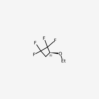 CCO[C@H]1CC(F)(F)C1(F)F